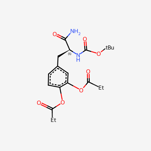 CCC(=O)Oc1ccc(C[C@H](NC(=O)OC(C)(C)C)C(N)=O)cc1OC(=O)CC